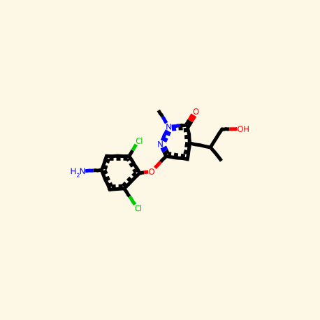 CC(CO)c1cc(Oc2c(Cl)cc(N)cc2Cl)nn(C)c1=O